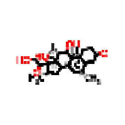 CC1CC2C3C[C@H](C)C4=CC(=O)CC[C@]4(C)[C@H]3C(O)C[C@]2(C)[C@@]1(O)C(=O)CO